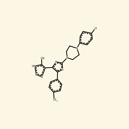 N#Cc1[nH]nnc1-c1nc(N2CCN(c3ccc(Cl)cc3)CC2)sc1-c1ccc(C(F)(F)F)cc1